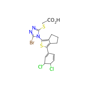 O=C(O)CSc1nnc(Br)n1-c1sc(C2=CC(Cl)C(Cl)C=C2)c2c1CCC2